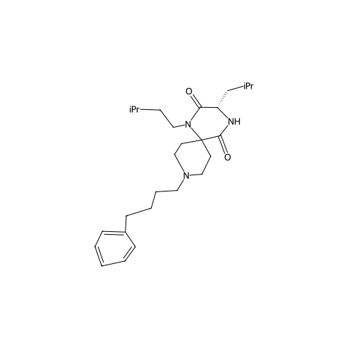 CC(C)CCN1C(=O)[C@H](CC(C)C)NC(=O)C12CCN(CCCCc1ccccc1)CC2